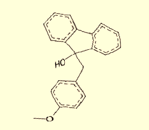 COc1ccc(CC2(O)c3ccccc3-c3ccccc32)cc1